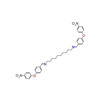 O=[N+]([O-])c1ccc(Oc2ccc(C=NCCCCCCCCCCN=Cc3ccc(Oc4ccc([N+](=O)[O-])cc4)cc3)cc2)cc1